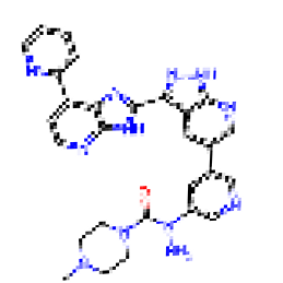 CN1CCN(C(=O)N(N)c2cncc(-c3cnc4[nH]nc(-c5nc6c(-c7ccccn7)ccnc6[nH]5)c4c3)c2)CC1